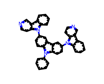 c1ccc(-n2c3ccc(-n4c5ccccc5c5cnccc54)cc3c3cc(-n4c5ccccc5c5cnccc54)ccc32)cc1